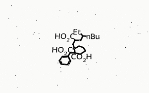 CCCCC(CC)CC(CC1(C(=O)O)CCCCC1(Cc1ccccc1)C(=O)O)C(=O)O